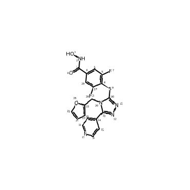 O=C(NO)c1cc(F)c(Sc2nnc(-c3ccncc3)n2Cc2ccco2)c(F)c1